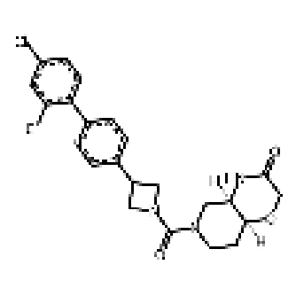 O=C1CO[C@H]2CCN(C(=O)N3CC(c4ccc(-c5ccc(Cl)cc5Cl)nc4)C3)C[C@H]2N1